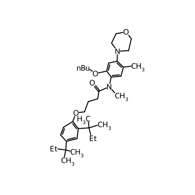 CCCCOc1cc(N2CCOCC2)c(C)cc1N(C)C(=O)CCCOc1ccc(C(C)(C)CC)cc1C(C)(C)CC